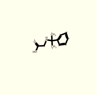 CC(C)(NCC(=O)O)c1ccccc1